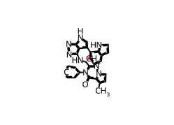 Cc1ccn2nc(C(C)Nc3ncnc4[nH]cc(-c5cccc6cc[nH]c56)c34)n(-c3ccccc3)c(=O)c12